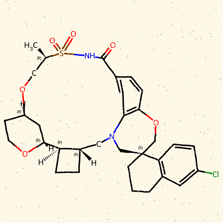 C[C@@H]1CO[C@@H]2CCO[C@H](C2)[C@@H]2CC[C@H]2CN2C[C@@]3(CCCc4cc(Cl)ccc43)COc3ccc(cc32)C(=O)NS1(=O)=O